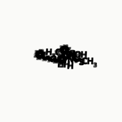 CSCCC(NC(=O)c1ccc(COCCCc2ccccc2)cc1-c1ccccc1C)C(=O)O.[LiH]